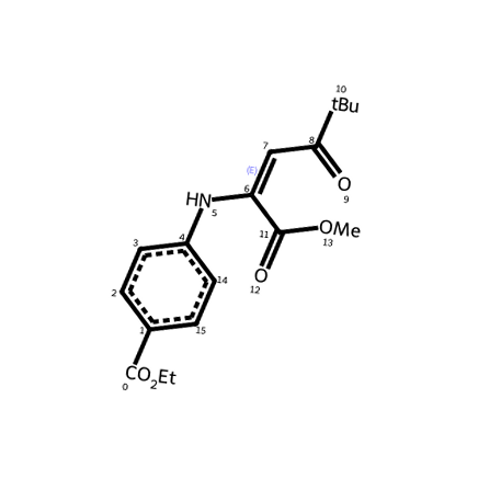 CCOC(=O)c1ccc(N/C(=C/C(=O)C(C)(C)C)C(=O)OC)cc1